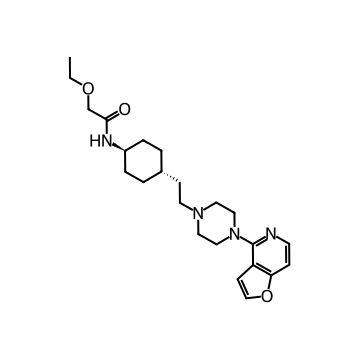 CCOCC(=O)N[C@H]1CC[C@H](CCN2CCN(c3nccc4occc34)CC2)CC1